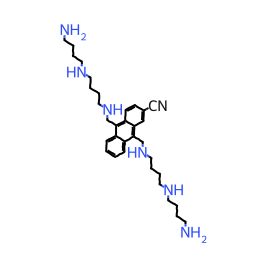 N#Cc1ccc2c(CNCCCCNCCCCN)c3ccccc3c(CNCCCCNCCCCN)c2c1